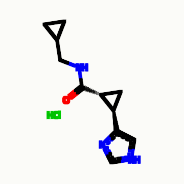 Cl.O=C(NCC1CC1)[C@@H]1C[C@H]1c1c[nH]cn1